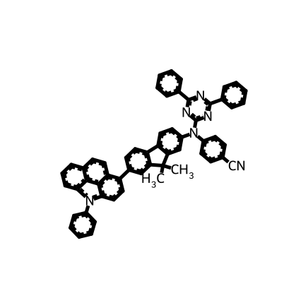 CC1(C)c2cc(-c3ccc4c5c3ccc3cccc(c35)n4-c3ccccc3)ccc2-c2ccc(N(c3ccc(C#N)cc3)c3nc(-c4ccccc4)nc(-c4ccccc4)n3)cc21